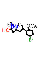 CCOC(=O)CC(Cc1cc(O)n(C)n1)c1cc(Br)ccc1OC